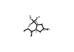 CCC(C)N1CC(F)CC1C(F)(F)F